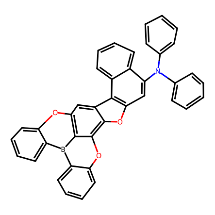 c1ccc(N(c2ccccc2)c2cc3oc4c5c6c(cc4c3c3ccccc23)Oc2ccccc2B6c2ccccc2O5)cc1